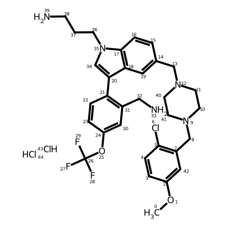 COc1ccc(Cl)c(CN2CCN(Cc3ccc4c(c3)c(-c3ccc(OC(F)(F)F)cc3CN)cn4CCCN)CC2)c1.Cl.Cl